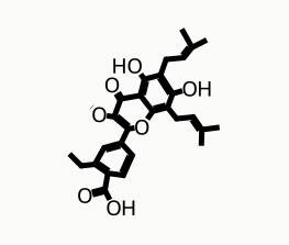 CCc1cc(-c2oc3c(CC=C(C)C)c(O)c(CC=C(C)C)c(O)c3c(=O)c2OC)ccc1C(=O)O